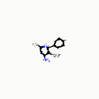 Nc1cc(C(F)(F)F)nc(-c2ccccc2)c1C(=O)O